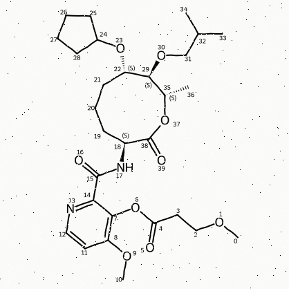 COCCC(=O)Oc1c(OC)ccnc1C(=O)N[C@H]1CCC[C@H](OC2CCCC2)[C@@H](OCC(C)C)[C@H](C)OC1=O